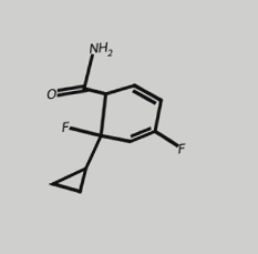 NC(=O)C1C=CC(F)=CC1(F)C1CC1